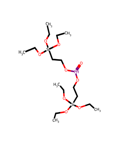 CCO[Si](CCO[PH](=O)OCC[Si](OCC)(OCC)OCC)(OCC)OCC